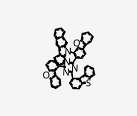 c1ccc2cc3c(cc2c1)c1ccccc1n3-c1c(-c2nc(-c3cccc4oc5ccccc5c34)nc(-c3cccc4sc5ccccc5c34)n2)ccc2c1oc1ccccc12